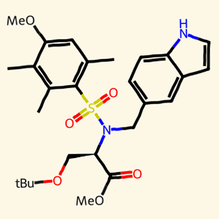 COC(=O)[C@@H](COC(C)(C)C)N(Cc1ccc2[nH]ccc2c1)S(=O)(=O)c1c(C)cc(OC)c(C)c1C